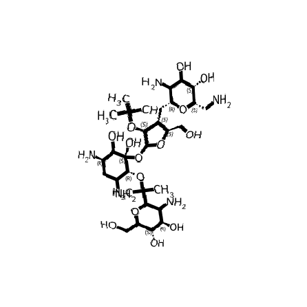 CC(C)(C)O[C@@H]1C(O[C@@]2(O)C(O)[C@H](N)CC(N)[C@H]2OC(C)(C)C2OC(CO)[C@@H](O)[C@H](O)C2N)O[C@H](CO)[C@@H]1C[C@H]1O[C@@H](CN)[C@@H](O)C(O)C1N